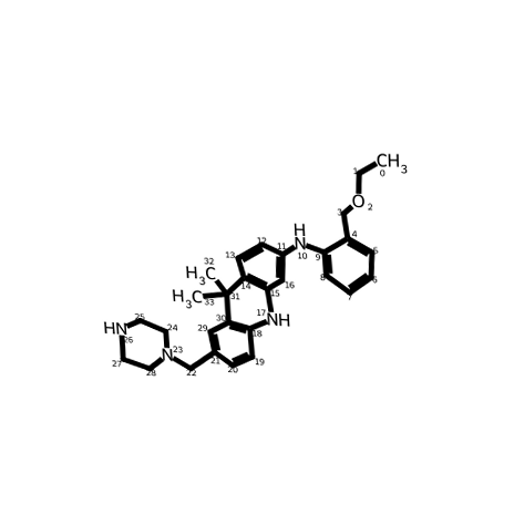 CCOCc1ccccc1Nc1ccc2c(c1)Nc1ccc(CN3CCNCC3)cc1C2(C)C